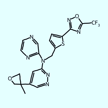 CC1(c2cnnc(N(Cc3ccc(-c4noc(C(F)(F)F)n4)s3)c3cnccn3)c2)COC1